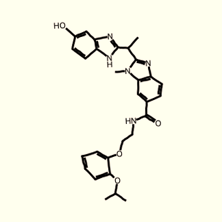 CC(C)Oc1ccccc1OCCNC(=O)c1ccc2nc(C(C)c3nc4cc(O)ccc4[nH]3)n(C)c2c1